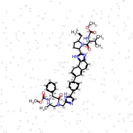 C=CC1CCC(c2nc3c([nH]2)C2CC=C(c4ccc(-c5cnc(CN(CCC)C(=O)[C@H](NC(=O)OC)c6ccccc6)[nH]5)cc4)C=C2C=C3)N1C(=O)[C@@H](NC(=O)OC)C(C)C